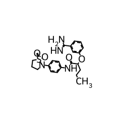 CCCC(Oc1cccc(C(=N)N)c1)C(=O)Nc1ccc(N2CCCS2(=O)=O)cc1